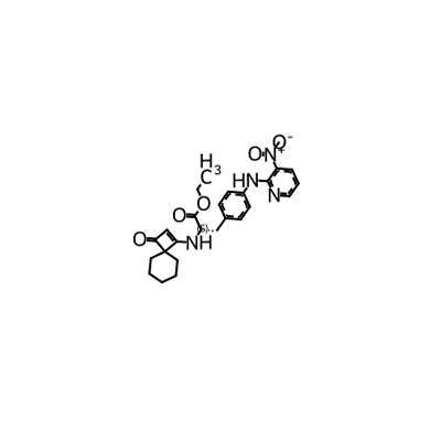 CCOC(=O)[C@H](Cc1ccc(Nc2ncccc2[N+](=O)[O-])cc1)NC1=CC(=O)C12CCCCC2